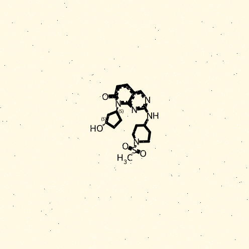 CS(=O)(=O)N1CCC(Nc2ncc3ccc(=O)n([C@H]4CC[C@H](O)C4)c3n2)CC1